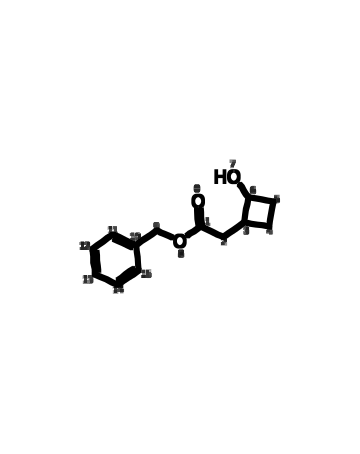 O=C(CC1CCC1O)OCc1ccccc1